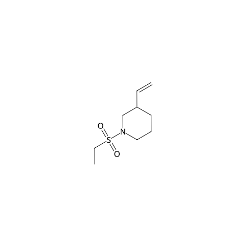 C=CC1CCCN(S(=O)(=O)CC)C1